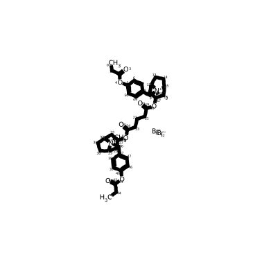 CCC(=O)Oc1ccc(C[N+]2(C)C3CCC2CC(OC(=O)CCCC(=O)OC2CC4CCC(C2)[N+]4(C)Cc2ccc(OC(=O)CC)cc2)C3)cc1.[Br-].[Br-]